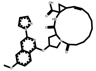 COc1ccc2c(OC3CC4C(=O)NC5(C(=O)O)CC5C=CCCCCCCC(=O)N4C3)nc(-n3cccn3)cc2c1